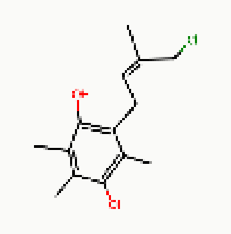 CC(=CCc1c(C)c(O)c(C)c(C)c1O)CCl